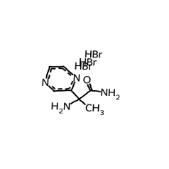 Br.Br.Br.CC(N)(C(N)=O)c1cnccn1